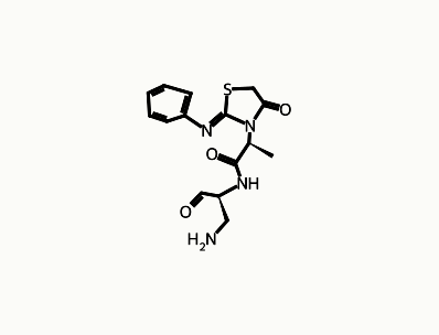 C[C@@H](C(=O)N[C@H](C=O)CN)N1C(=O)CS/C1=N\c1ccccc1